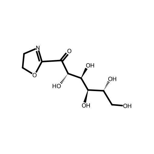 O=C(C1=NCCO1)[C@@H](O)[C@@H](O)[C@H](O)[C@H](O)CO